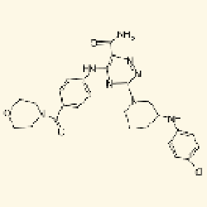 NC(=O)c1nnc(N2CCCC(Nc3ccc(Cl)cc3)C2)nc1Nc1ccc(C(=O)N2CCOCC2)cc1